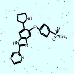 CS(=O)(=O)c1ccc(Oc2cc3nc(-c4cnccn4)[nH]c3cc2C2CCCN2)cc1